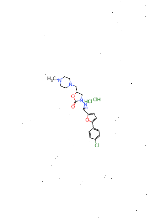 CN1CCN(CC2CN(/N=C/c3ccc(-c4ccc(Cl)cc4)o3)C(=O)O2)CC1.Cl.Cl